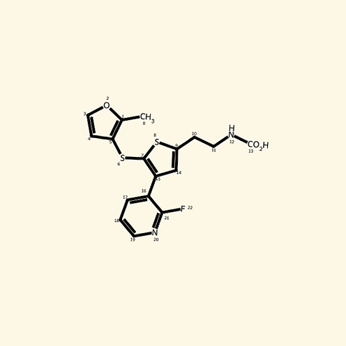 Cc1occc1Sc1sc(CCNC(=O)O)cc1-c1cccnc1F